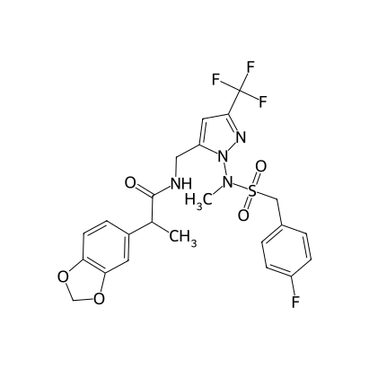 CC(C(=O)NCc1cc(C(F)(F)F)nn1N(C)S(=O)(=O)Cc1ccc(F)cc1)c1ccc2c(c1)OCO2